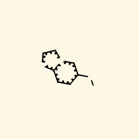 OBc1ccc2nccn2c1